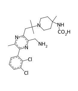 Cc1nc(CC(C)(C)N2CCC(C)(NC(=O)O)CC2)c(CN)nc1-c1cccc(Cl)c1Cl